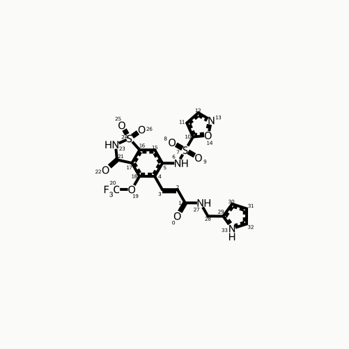 O=C(/C=C/c1c(NS(=O)(=O)c2ccno2)cc2c(c1OC(F)(F)F)C(=O)NS2(=O)=O)NCc1ccc[nH]1